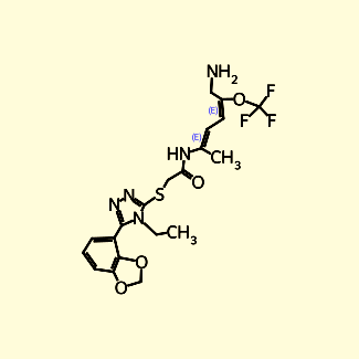 CCn1c(SCC(=O)N/C(C)=C/C=C(\CN)OC(F)(F)F)nnc1-c1cccc2c1OCO2